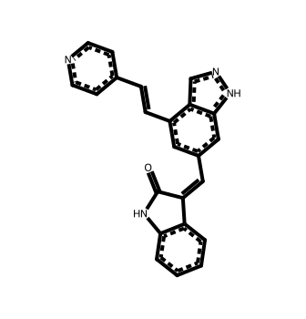 O=C1Nc2ccccc2C1=Cc1cc(C=Cc2ccncc2)c2cn[nH]c2c1